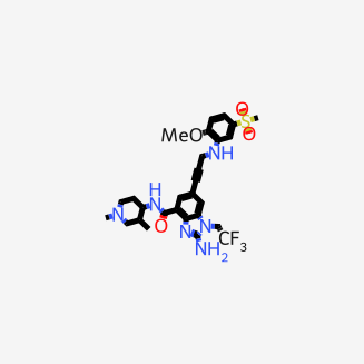 COc1ccc(S(C)(=O)=O)cc1NCC#Cc1cc(C(=O)NC2CCN(C)CC2C)c2nc(N)n(CC(F)(F)F)c2c1